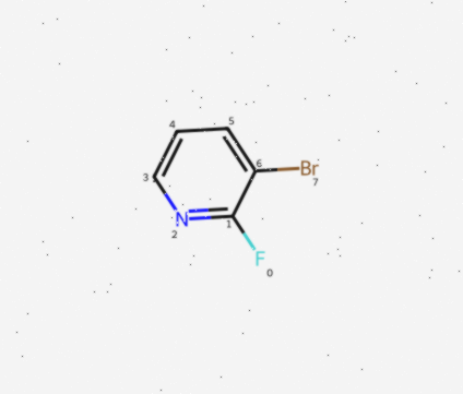 Fc1n[c]ccc1Br